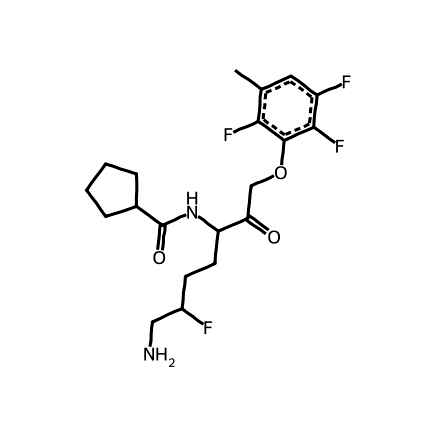 Cc1cc(F)c(F)c(OCC(=O)C(CCC(F)CN)NC(=O)C2CCCC2)c1F